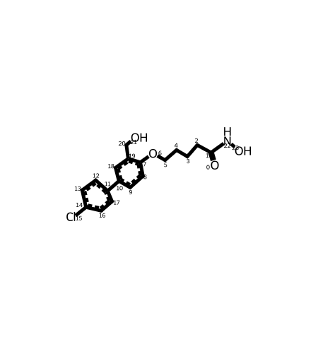 O=C(CCCCOc1ccc(-c2ccc(Cl)cc2)cc1CO)NO